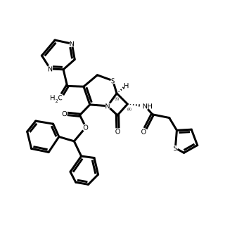 C=C(C1=C(C(=O)OC(c2ccccc2)c2ccccc2)N2C(=O)[C@@H](NC(=O)Cc3cccs3)[C@@H]2SC1)c1cnccn1